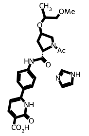 COCC(C)OC1C[C@@H](C(=O)Nc2ccc(-c3ccc(C(=O)O)c(=O)[nH]3)cc2)N(C(C)=O)C1.c1c[nH]cn1